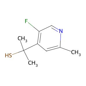 Cc1cc(C(C)(C)S)c(F)cn1